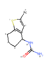 CC(=O)c1cc2c(s1)CCCC2NC(N)=O